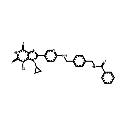 CCn1c(=O)[nH]c(=O)c2nc(-c3ccc(NCc4ccc(CNC(=O)c5ccccc5)cc4)nc3)n(C3CC3)c21